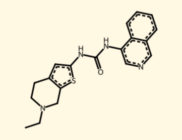 CCN1CCc2cc(NC(=O)Nc3cncc4ccccc34)sc2C1